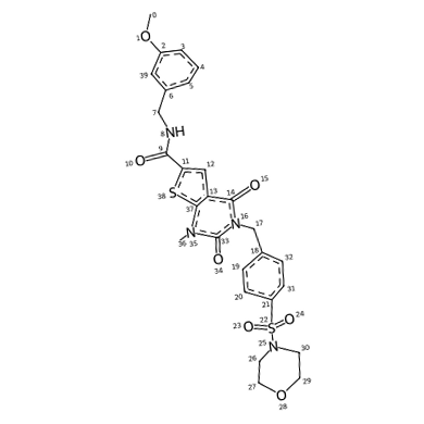 COc1cccc(CNC(=O)c2cc3c(=O)n(Cc4ccc(S(=O)(=O)N5CCOCC5)cc4)c(=O)n(C)c3s2)c1